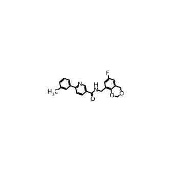 Cc1cccc(-c2ccc(C(=O)NCc3cc(F)cc4c3OCOC4)cn2)c1